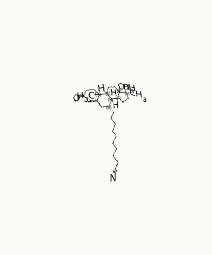 C[C@]12CCC(=O)C=C1C[C@@H](CCCCCCCCCC#N)[C@@H]1[C@@H]2CC[C@@]2(C)[C@H]1CC[C@]2(C)O